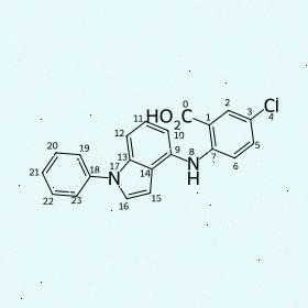 O=C(O)c1cc(Cl)ccc1Nc1cccc2c1ccn2-c1ccccc1